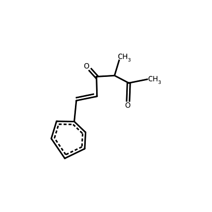 CC(=O)C(C)C(=O)C=Cc1ccccc1